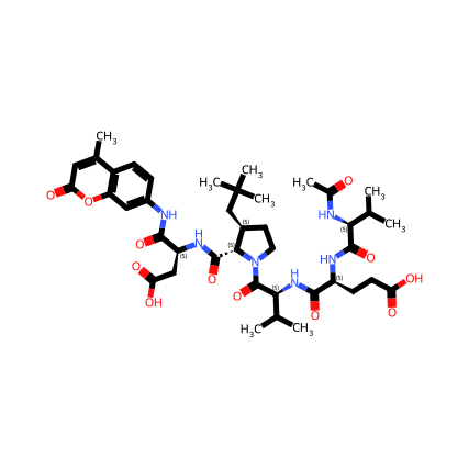 CC(=O)N[C@H](C(=O)N[C@@H](CCC(=O)O)C(=O)N[C@H](C(=O)N1CC[C@H](CC(C)(C)C)[C@H]1C(=O)N[C@@H](CC(=O)O)C(=O)Nc1ccc2c(C)cc(=O)oc2c1)C(C)C)C(C)C